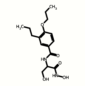 CCCOc1ccc(C(=O)NC(CO)C(=O)NO)cc1CCC